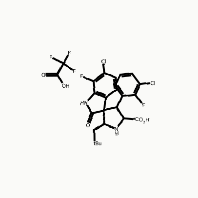 CC(C)(C)CC1NC(C(=O)O)C(c2cccc(Cl)c2F)C12C(=O)Nc1c2ccc(Cl)c1F.O=C(O)C(F)(F)F